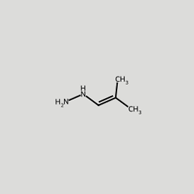 CC(C)=CNN